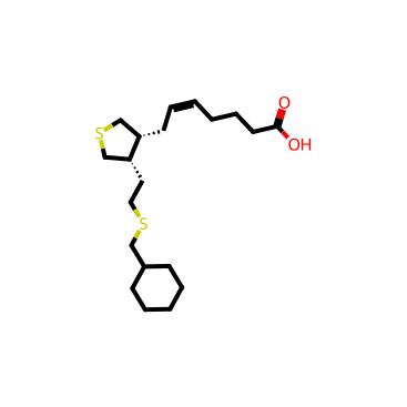 O=C(O)CCC/C=C\C[C@H]1CSC[C@H]1CCSCC1CCCCC1